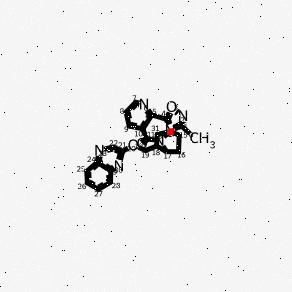 Cc1noc(-c2ncccc2C(=O)N2C3CCC2C(COc2cnc4ccccc4n2)C3)n1